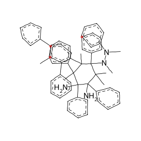 Cc1c(-c2ccccc2)ccc(C2(C)C(C)(c3ccccc3)C(N)(c3ccccc3)C(N)(c3ccccc3)C(C)(C)C2(c2ccccc2)N(C)N(C)c2ccccc2)c1-c1ccccc1